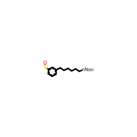 CCCCCCCCCCCCCCCc1cccc([S+]=O)c1